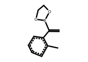 C=C(B1OCCO1)c1ccccc1C